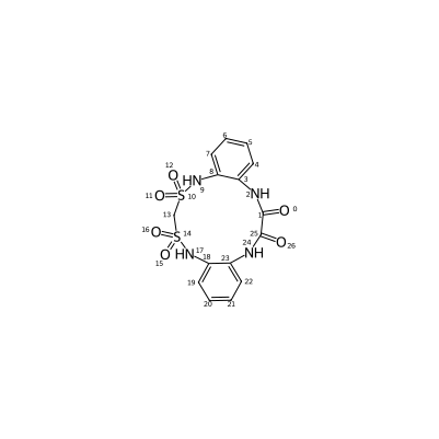 O=C1Nc2ccccc2NS(=O)(=O)CS(=O)(=O)Nc2ccccc2NC1=O